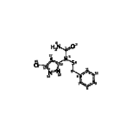 NC(=O)N(SCc1ccccc1)c1nnc(Cl)s1